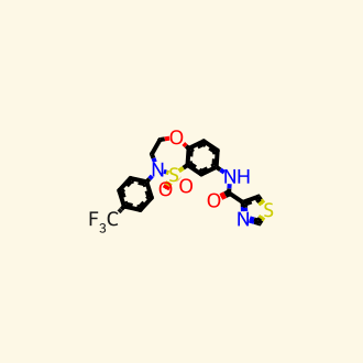 O=C(Nc1ccc2c(c1)S(=O)(=O)N(c1ccc(C(F)(F)F)cc1)CCO2)c1cscn1